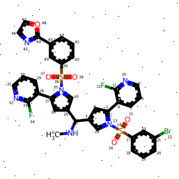 CNC(c1cc(-c2cccnc2F)n(S(=O)(=O)c2cccc(Br)c2)c1)c1cc(-c2cccnc2F)n(S(=O)(=O)c2cccc(-c3ncco3)c2)c1